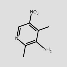 Cc1ncc([N+](=O)[O-])c(C)c1N